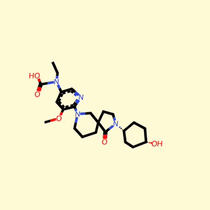 CCN(C(=O)O)c1cnc(N2CCCC3(CCN([C@H]4CC[C@@H](O)CC4)C3=O)C2)c(OC)c1